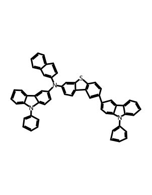 c1ccc(-n2c3ccccc3c3cc(-c4ccc5sc6cc(N(c7ccc8ccccc8c7)c7ccc8c(c7)c7ccccc7n8-c7ccccc7)ccc6c5c4)ccc32)cc1